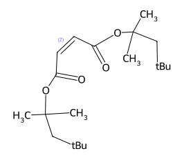 CC(C)(C)CC(C)(C)OC(=O)/C=C\C(=O)OC(C)(C)CC(C)(C)C